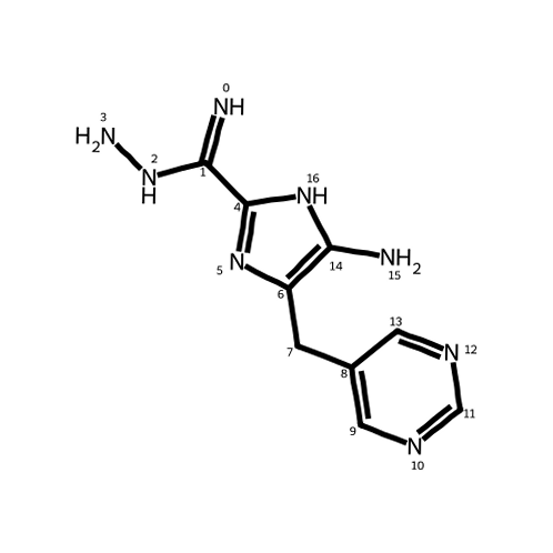 N=C(NN)c1nc(Cc2cncnc2)c(N)[nH]1